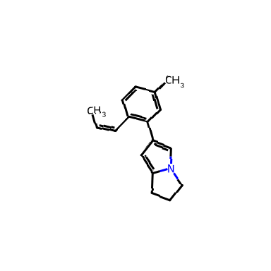 C/C=C\c1ccc(C)cc1-c1cc2n(c1)CCC2